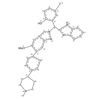 COc1cc2cn(C(c3nc4ccccc4[nH]3)c3cc(F)ccc3O)nc2cc1-c1ccc(C2CCN(C)CC2)cc1